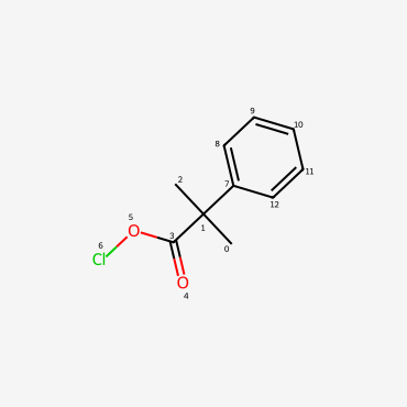 CC(C)(C(=O)OCl)c1ccccc1